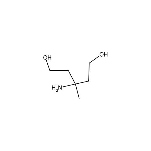 CC(N)(CCO)CCO